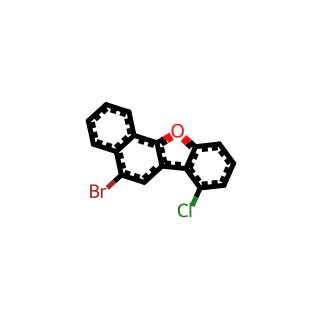 Clc1cccc2oc3c4ccccc4c(Br)cc3c12